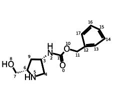 O=C(N[C@@H]1CN[C@H](CO)C1)OCc1ccccc1